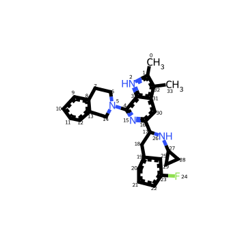 Cc1[nH]c2c(N3CCc4ccccc4C3)nc(C(Cc3cccc(F)c3)NC3CC3)cc2c1C